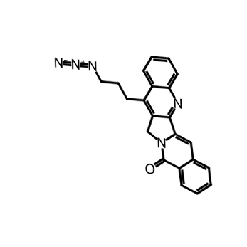 [N-]=[N+]=NCCCc1c2c(nc3ccccc13)-c1cc3ccccc3c(=O)n1C2